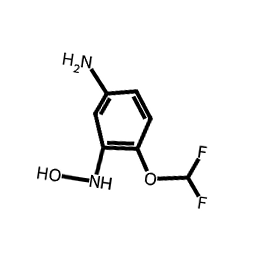 Nc1ccc(OC(F)F)c(NO)c1